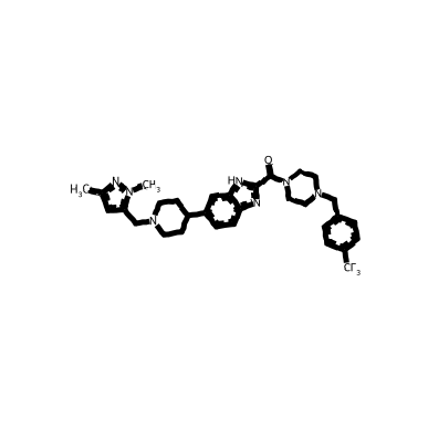 Cc1cc(CN2CCC(c3ccc4nc(C(=O)N5CCN(Cc6ccc(C(F)(F)F)cc6)CC5)[nH]c4c3)CC2)n(C)n1